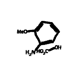 COc1ccccc1N.O=C(O)O